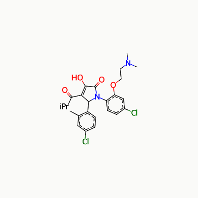 Cc1cc(Cl)ccc1C1C(C(=O)C(C)C)=C(O)C(=O)N1c1ccc(Cl)cc1OCCN(C)C